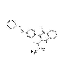 CC(C(N)=O)c1nc2ccccc2c(=O)n1-c1ccc(OCc2ccccc2)cc1